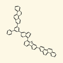 c1ccc(-c2cc(-c3ccc4c(-c5cccc6c5sc5cc(-c7ccc8c(ccc9c%10ccccc%10ccc89)c7)ccc56)cccc4c3)cc(-c3ccc4c(ccc5c6ccccc6ccc45)c3)c2)cc1